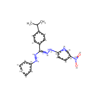 CC(C)c1ccc(C(/N=N/c2ccccc2)=N\Nc2ccc([N+](=O)[O-])cn2)cc1